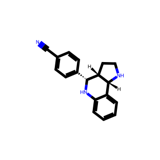 N#Cc1ccc([C@H]2Nc3ccccc3[C@H]3NCC[C@@H]23)cc1